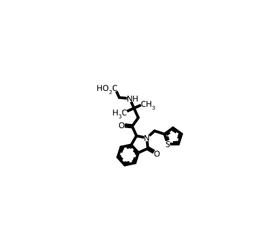 CC(C)(CC(=O)C1c2ccccc2C(=O)N1Cc1cccs1)NCC(=O)O